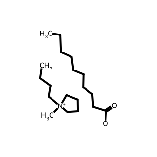 CCCCCCCCCC(=O)[O-].CCCC[N+]1(C)CCCC1